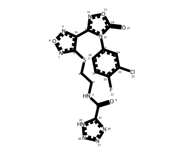 O=C(NCCSc1nonc1-c1noc(=O)n1-c1ccc(F)c(Cl)c1)c1nnn[nH]1